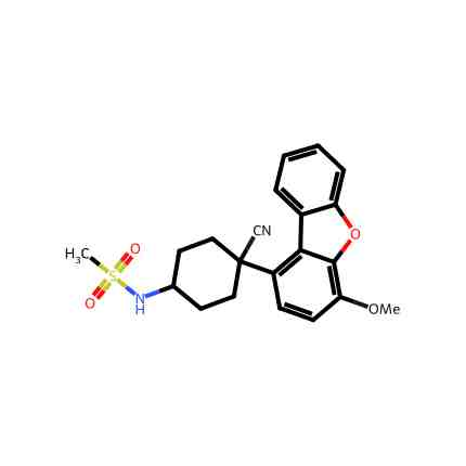 COc1ccc(C2(C#N)CCC(NS(C)(=O)=O)CC2)c2c1oc1ccccc12